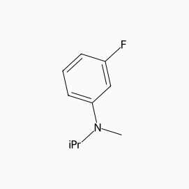 CC(C)N(C)c1cccc(F)c1